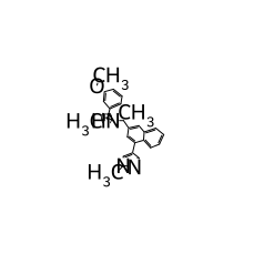 COc1cccc([C@@H](C)NC(C)c2cc(-c3cnn(C)c3)c3ccccc3c2)c1